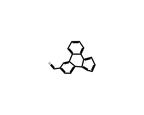 O=Cc1ccc2c3ccccc3c3ccccc3c2c1